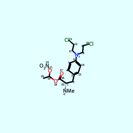 CN[C@@H](Cc1ccc(N(CCCl)CCCl)cc1)C(=O)OC(C)O[N+](=O)[O-]